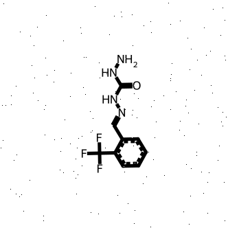 NNC(=O)N/N=C/c1ccccc1C(F)(F)F